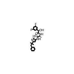 C[C@H](NC(=O)[C@H](O)c1cc(F)cc(F)c1)C(=O)Nc1cc(C(C)(C)Cc2ccccc2)n[nH]1